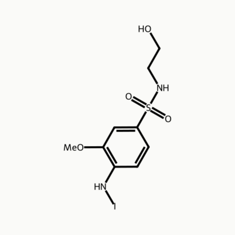 COc1cc(S(=O)(=O)NCCO)ccc1NI